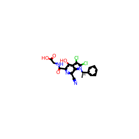 C[C@H](c1ccccc1)n1c(Cl)c(Cl)c2c(O)c(C(=O)NCC(=O)O)nc(C#N)c21